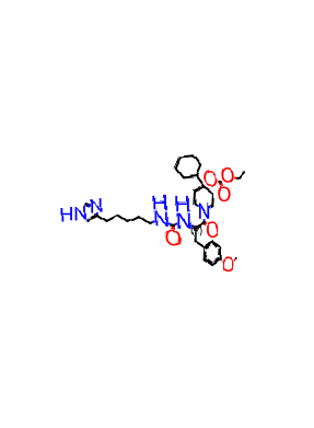 CCOC(=O)OC1(C2CCCCC2)CCN(C(=O)[C@@H](Cc2ccc(OC)cc2)NC(=O)NCCCCCc2c[nH]cn2)CC1